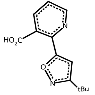 CC(C)(C)c1cc(-c2ncccc2C(=O)O)on1